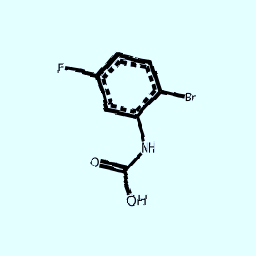 O=C(O)Nc1cc(F)ccc1Br